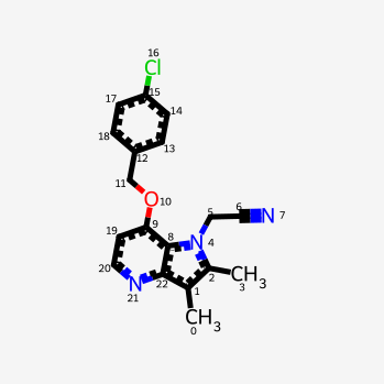 Cc1c(C)n(CC#N)c2c(OCc3ccc(Cl)cc3)ccnc12